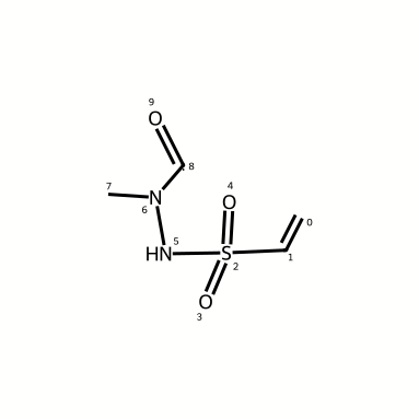 C=CS(=O)(=O)NN(C)[C]=O